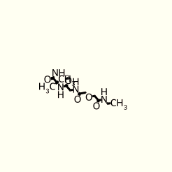 CCNC(=O)COCC(=O)NCC(=O)NC(C)(C)C(N)=O